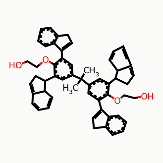 CC(C)(c1cc(C2=CCc3ccccc32)c(OCCO)c(C2CC=C3C=CC=CC32)c1)c1cc(C2=CCc3ccccc32)c(OCCO)c(C2CC=C3C=CC=CC32)c1